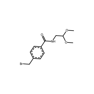 COC(CNC(=O)c1ccc(CBr)cc1)OC